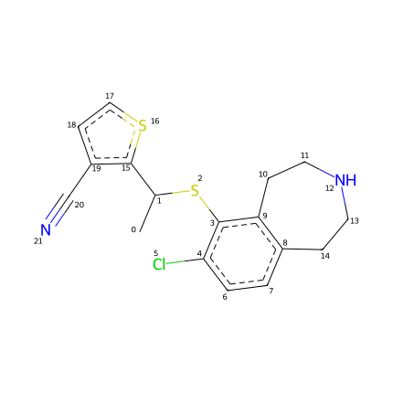 CC(Sc1c(Cl)ccc2c1CCNCC2)c1sccc1C#N